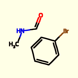 Brc1ccccc1.CNC=O